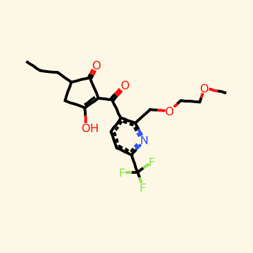 CCCC1CC(O)=C(C(=O)c2ccc(C(F)(F)F)nc2COCCOC)C1=O